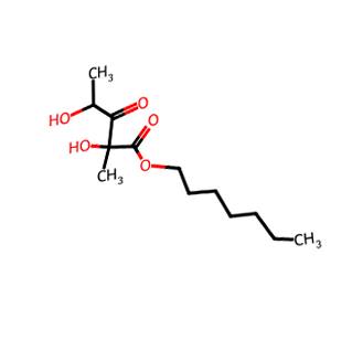 CCCCCCCOC(=O)C(C)(O)C(=O)C(C)O